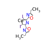 CCc1coc(-c2nc(-c3nc(CC)co3)c(I)cc2I)n1.[Co]